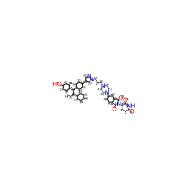 O=C1CCC(N2C(=O)c3ccc(N4CCN(CCCn5cc(-c6ccc(C7c8ccc(O)cc8CC[C@@H]7c7ccccc7)cc6)cn5)CC4)cc3C2=O)C(=O)N1